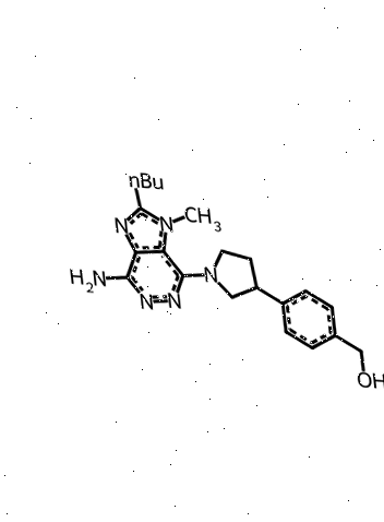 CCCCc1nc2c(N)nnc(N3CCC(c4ccc(CO)cc4)C3)c2n1C